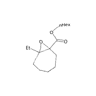 CCCCCCOC(=O)C12CCCCCC1(CC)O2